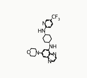 FC(F)(F)c1ccc(N[C@H]2CC[C@@H](Nc3cc(N4CCOCC4)cc4nccnc34)CC2)nc1